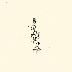 CCOCC1CCC(c2cc(F)c(C(=O)Oc3ccc(-c4cc(F)c(F)c(F)c4)c(F)c3)c(F)c2)OC1